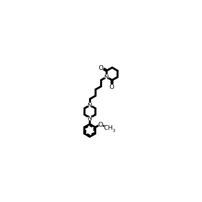 COc1ccccc1N1CCN(CCCCCN2C(=O)CCCC2=O)CC1